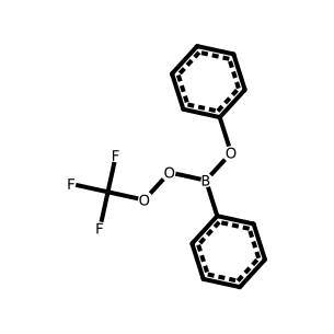 FC(F)(F)OOB(Oc1ccccc1)c1ccccc1